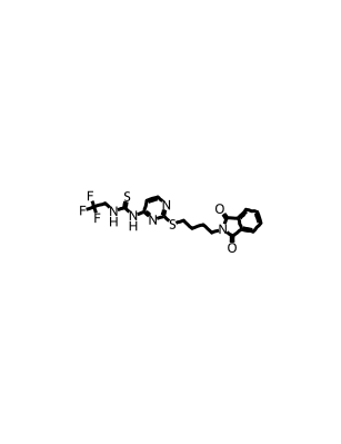 O=C1c2ccccc2C(=O)N1CCCCSc1nccc(NC(=S)NCC(F)(F)F)n1